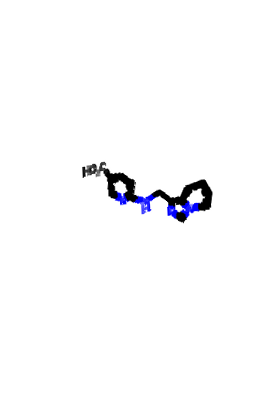 O=C(O)c1ccc(NCc2ncn3ccccc23)nc1